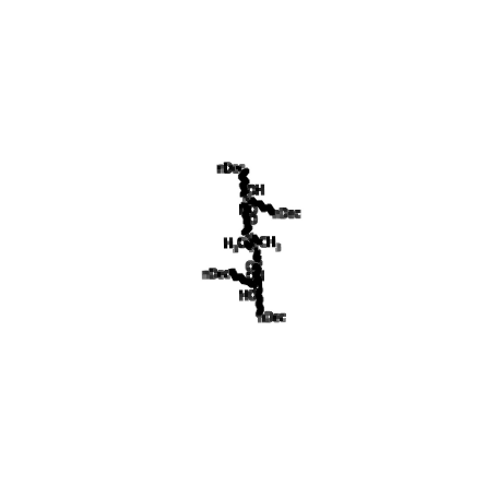 CCCCCCCCCCCCCCC(O)CN(CCCC(=O)SCCN1CC(C)N(CCSC(=O)CCCN(CC(O)CCCCCCCCCCCCCC)CC(O)CCCCCCCCCCCCCC)CC1C)CC(O)CCCCCCCCCCCCCC